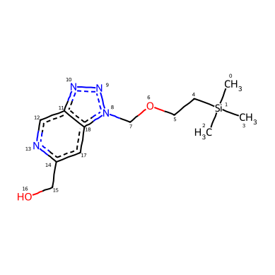 C[Si](C)(C)CCOCn1nnc2cnc(CO)cc21